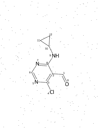 O=Cc1c(Cl)ncnc1NC1CC1